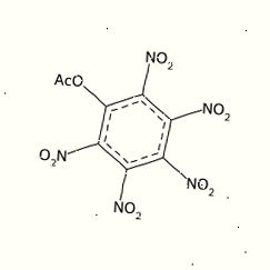 CC(=O)Oc1c([N+](=O)[O-])c([N+](=O)[O-])c([N+](=O)[O-])c([N+](=O)[O-])c1[N+](=O)[O-]